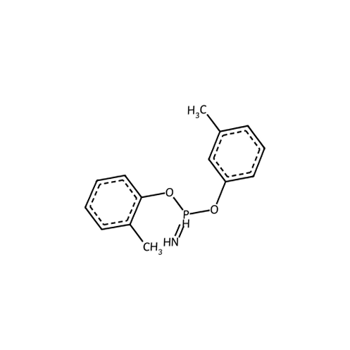 Cc1cccc(O[PH](=N)Oc2ccccc2C)c1